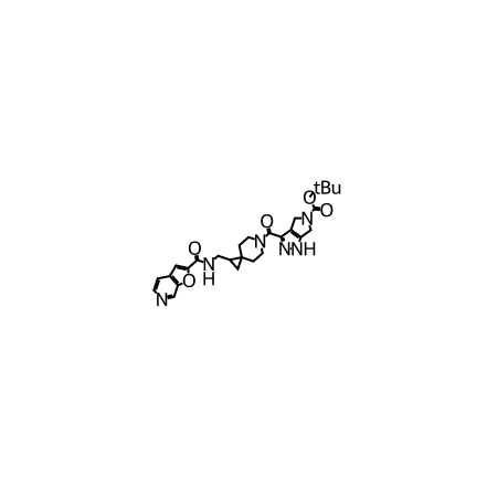 CC(C)(C)OC(=O)N1Cc2[nH]nc(C(=O)N3CCC4(CC3)CC4CNC(=O)c3cc4ccncc4o3)c2C1